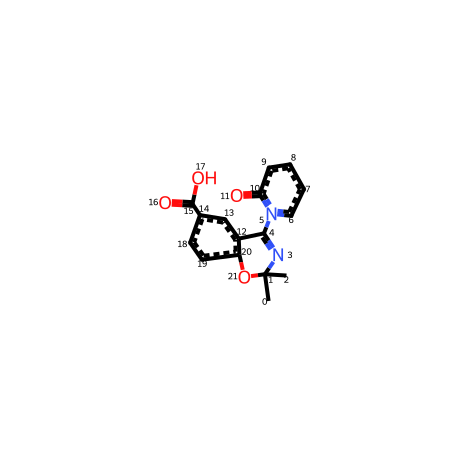 CC1(C)N=C(n2ccccc2=O)c2cc(C(=O)O)ccc2O1